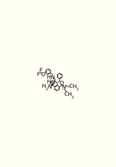 CCCN(CCC)C(=O)c1cccc(C(N)=O)c1[C@H](Cc1ccccc1)[C@@H](O)CNCc1cccc(OC(F)F)c1